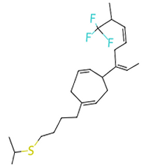 C/C=C(\C/C=C\C(C)C(F)(F)F)C1C=CCC(CCCCSC(C)C)=CC1